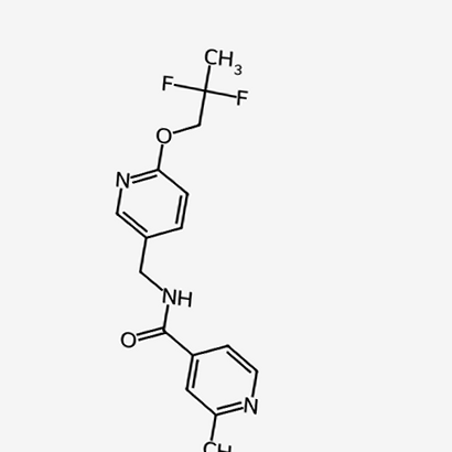 Cc1cc(C(=O)NCc2ccc(OCC(C)(F)F)nc2)ccn1